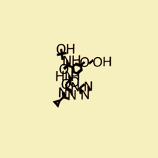 CC(C)(O)CNC(=O)c1cc(OCCO)ccc1NC(=O)Oc1nc(C2CC2)cnc1Nc1cncnc1